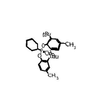 C=P(Oc1ccc(C)cc1C(C)(C)C)(Oc1ccc(C)cc1C(C)(C)C)C1CCCCC1